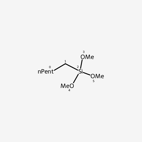 [CH2]CCCCC[Si](OC)(OC)OC